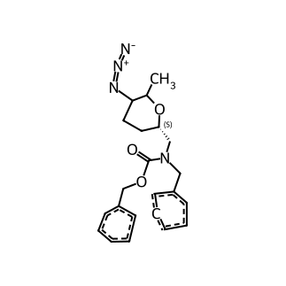 CC1O[C@H](CN(Cc2ccccc2)C(=O)OCc2ccccc2)CCC1N=[N+]=[N-]